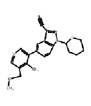 COCc1cncc(-c2ccc3c(c2)c(C#N)nn3C2CCCCO2)c1C